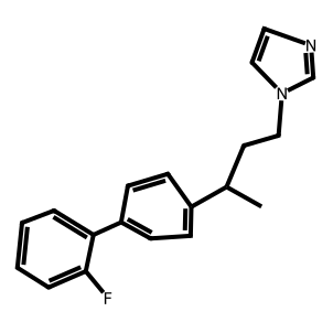 CC(CCn1ccnc1)c1ccc(-c2ccccc2F)cc1